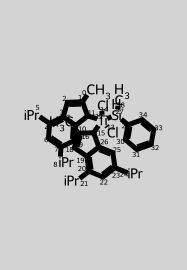 CC1=Cc2c(C(C)C)cc(C(C)C)cc2[CH]1[Ti]([Cl])([Cl])([CH]1C(C)=Cc2c(C(C)C)cc(C(C)C)cc21)[SiH](C)c1ccccc1